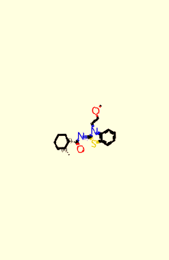 COCCn1/c(=N/C(=O)[C@H]2CCCC[C@H]2C)sc2ccccc21